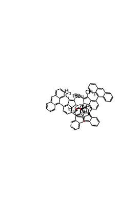 CC1=C(C(C)(C)C)[CH]([Zr]([CH3])([CH3])(=[SiH2])[CH]2C(C(C)(C)C)=C(C)c3c(-c4c5ccccc5cc5ccccc45)ccc(-c4c5ccccc5cc5ccccc45)c32)c2c(-c3c4ccccc4cc4ccccc34)ccc(-c3c4ccccc4cc4ccccc34)c21